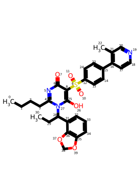 CCCCc1nc(=O)c(S(=O)(=O)c2ccc(-c3ccncc3C)cc2)c(O)n1C(CC)c1cccc2c1OCO2